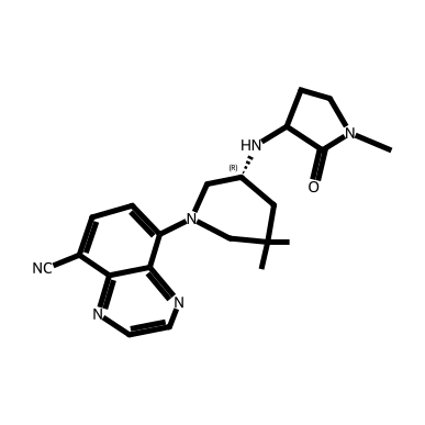 CN1CCC(N[C@H]2CN(c3ccc(C#N)c4nccnc34)CC(C)(C)C2)C1=O